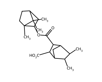 CC1C(C)C2CC1C(C(=O)O)C2C(=O)OC1CC2CCC1(C)C2(C)C